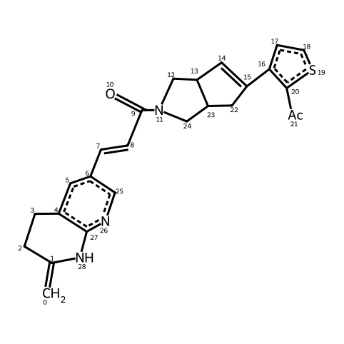 C=C1CCc2cc(/C=C/C(=O)N3CC4C=C(c5ccsc5C(C)=O)CC4C3)cnc2N1